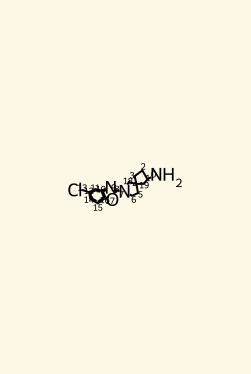 NC1CCC2(CCN(c3nc4cc(Cl)ccc4o3)C2)C1